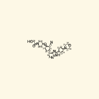 N#Cc1cc(-c2ccnc3[nH]c(-c4ccc(N5CCOCC5)cc4)nc23)ccc1OC1CCN(C(=O)CO)CC1